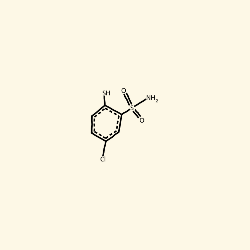 NS(=O)(=O)c1cc(Cl)ccc1S